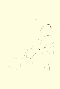 Cc1c2c(nn1C1CCN(C)CC1)C[C@]13CCN(CC4CC4)[C@H](Cc4ccc(O)cc41)[C@]3(O)C2